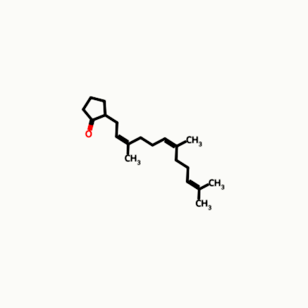 CC(C)=CCCC(C)=CCCC(C)=CCC1CCCC1=O